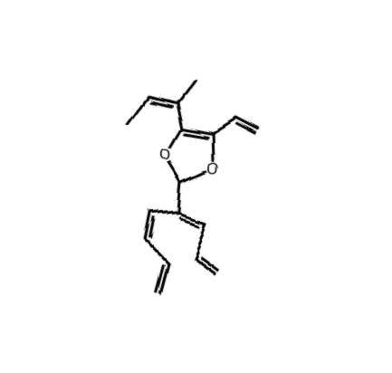 C=C/C=C\C(=C/C=C)C1OC(C=C)=C(/C(C)=C\C)O1